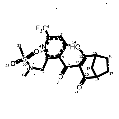 CN(Cc1nc(C(F)(F)F)ccc1C(=O)C1=C(O)C2CCC(C2)C1=O)S(C)(=O)=O